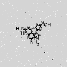 Nc1nc2c(c3c1ncn3[C@H]1CC[C@@H](CO)O1)C=NC(N)N2